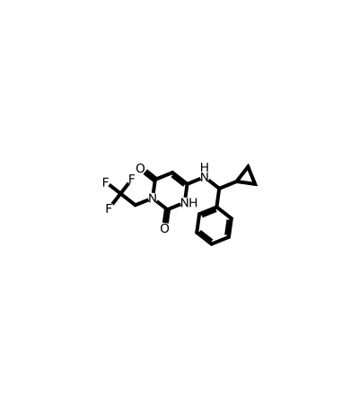 O=c1cc(NC(c2ccccc2)C2CC2)[nH]c(=O)n1CC(F)(F)F